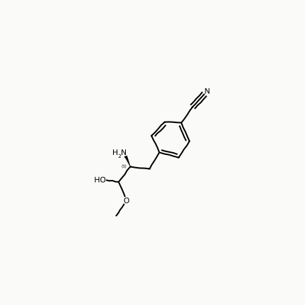 COC(O)[C@@H](N)Cc1ccc(C#N)cc1